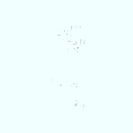 CCCCC(CC)CN1c2ccccc2Sc2cc(/C=C(\C#N)C(=O)NCCCCCCCCCCCN(CCCCCOC=O)C(CCC(=O)O)C(=O)O)ccc21